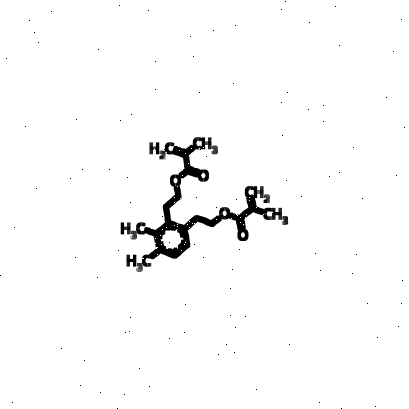 C=C(C)C(=O)OCCc1ccc(C)c(C)c1CCOC(=O)C(=C)C